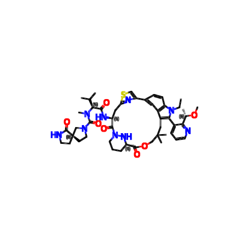 CCn1c(-c2cccnc2[C@H](C)OC)c2c3cc(ccc31)-c1csc(n1)C[C@H](NC(=O)[C@H](C(C)C)N(C)C(=O)N1CC[C@]3(CCNC3=O)C1)C(=O)N1CCC[C@](C=O)(COCC(C)(C)C2)N1